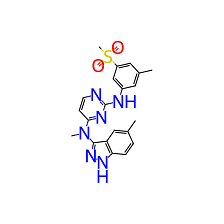 Cc1cc(Nc2nccc(N(C)c3n[nH]c4ccc(C)cc34)n2)cc(S(C)(=O)=O)c1